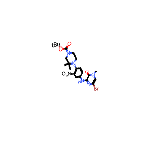 Cn1cc(Br)nc(Nc2ccc(N3CCN(C(=O)OC(C)(C)C)CC3(C)C)c([N+](=O)[O-])c2)c1=O